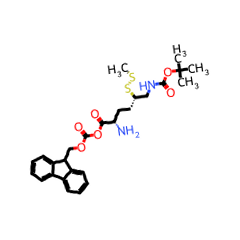 CSS[C@@H](CC[C@H](N)C(=O)OC(=O)OCC1c2ccccc2-c2ccccc21)CNC(=O)OC(C)(C)C